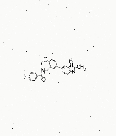 Cc1nc2ccc(-c3ccc4c(c3)CN(C(=O)c3ccc(I)cc3)CCO4)cc2[nH]1